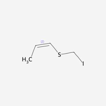 C/C=C\SCI